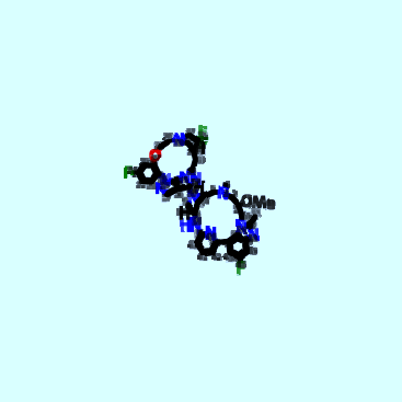 CO[C@@H]1CN(C)C[C@@H]2C[C@@H](CN2c2nc3nc4c2cnn4-c2ccc(F)cc2OCCN2C[C@@H](C3)C(F)(F)C2)Nc2cccc(n2)-c2cc(F)cc3nc(C)n(c23)C1